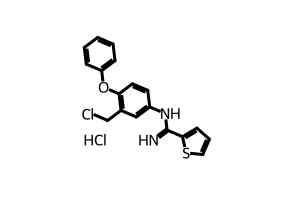 Cl.N=C(Nc1ccc(Oc2ccccc2)c(CCl)c1)c1cccs1